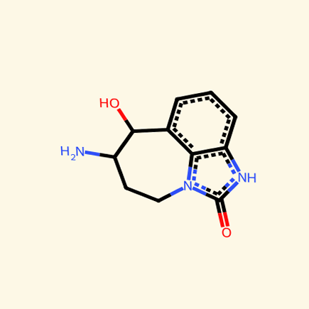 NC1CCn2c(=O)[nH]c3cccc(c32)C1O